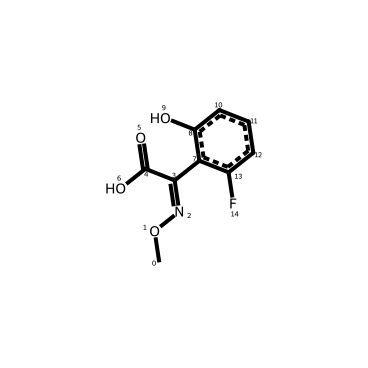 CON=C(C(=O)O)c1c(O)cccc1F